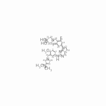 Cc1ccc(Nc2ncc3ccn(-c4cc(F)c(CN5CCS(O)(O)CC5)c(F)c4)c3n2)cc1CN1CCC(N(C)C)C1